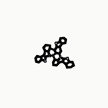 c1ccc2c(c1)oc1c3c4c(cc12)-n1c2oc5ccccc5c2c2cccc(c21)B4n1c2oc4ccccc4c2c2cccc-3c21